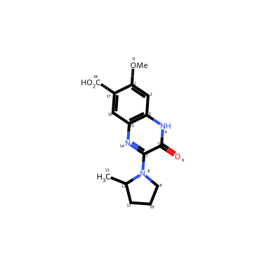 COc1cc2[nH]c(=O)c(N3CCCC3C)nc2cc1C(=O)O